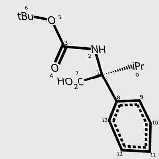 CC(C)[C@@](NC(=O)OC(C)(C)C)(C(=O)O)c1ccccc1